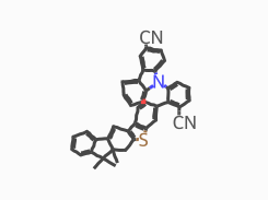 CC12Cc3sc4cc(-c5c(C#N)cccc5-n5c6ccccc6c6cc(C#N)ccc65)ccc4c3C=C1c1ccccc1C2(C)C